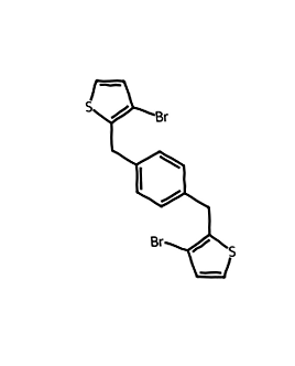 Brc1ccsc1Cc1ccc(Cc2sccc2Br)cc1